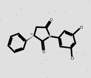 O=C1C[C@@H](c2ccccc2)C(=O)N1c1cc(Cl)cc(Cl)c1